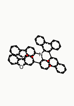 c1ccc(N(c2ccc3c(c2)sc2ccccc23)c2c(-c3ccc4ccccc4c3)c3ccccc3c3ccccc23)c(-c2ccc3c(c2)oc2ccccc23)c1